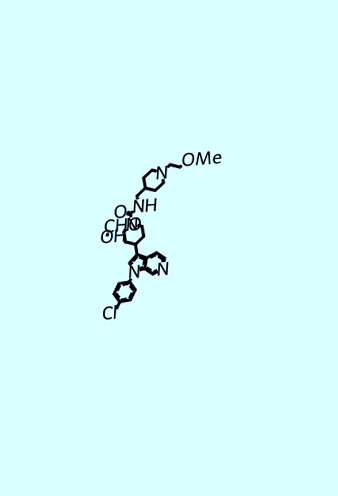 COCCN1CCC(CNC(=O)N2CCC(c3cn(-c4ccc(Cl)cc4)c4cnccc34)CC2)CC1.O=CO